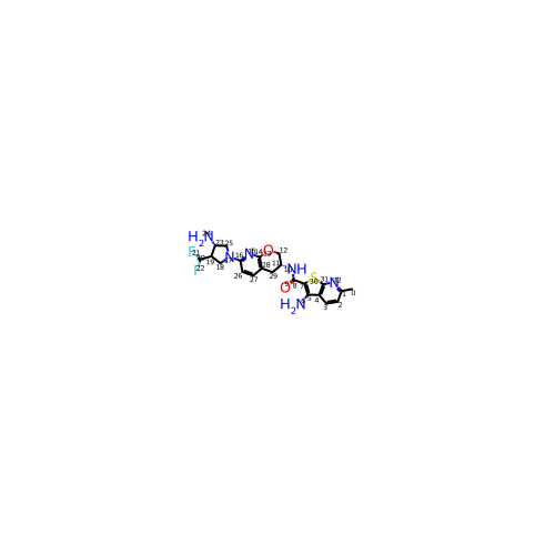 Cc1ccc2c(N)c(C(=O)N[C@H]3COc4nc(N5CC(C(F)F)[C@@H](N)C5)ccc4C3)sc2n1